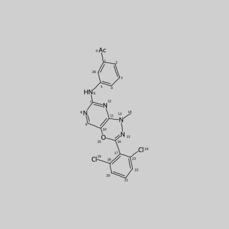 CC(=O)c1cccc(Nc2ncc3c(n2)N(C)N=C(c2c(Cl)cccc2Cl)O3)c1